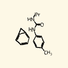 Cc1ccc(NC(=O)NC(C)C)cc1.c1ccc2c(c1)C2